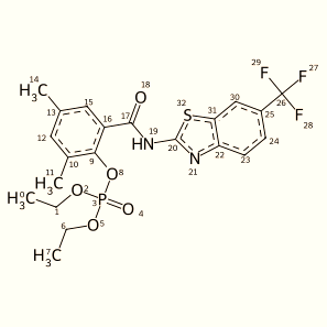 CCOP(=O)(OCC)Oc1c(C)cc(C)cc1C(=O)Nc1nc2ccc(C(F)(F)F)cc2s1